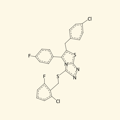 Fc1ccc(-c2c(Cc3ccc(Cl)cc3)sc3nnc(SCc4c(F)cccc4Cl)n23)cc1